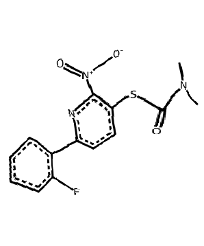 CN(C)C(=O)Sc1ccc(-c2ccccc2F)nc1[N+](=O)[O-]